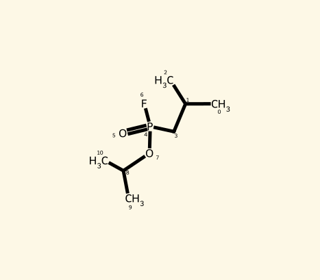 CC(C)CP(=O)(F)OC(C)C